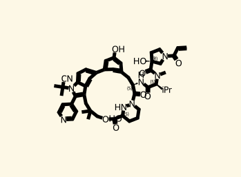 C=CC(=O)N1CC[C@](O)(C(=O)N(C)[C@H](C(=O)N[C@H]2Cc3cc(O)cc(c3)-c3ccc4c(c3)c(c(-c3ccncc3)n4C(C)(C)C#N)CC(C)(C)COC(=O)[C@@]3(O)CCCN(N3)C2=O)C(C)C)C1